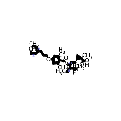 C=C/C=C(\C=C/C)CCCOc1cc(C)c(C(=O)NC(=C/C(=C)[C@H]2C[C@@]2(C)C(=O)O)/C(=C\C)C(F)(F)F)c(C)c1